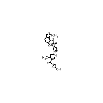 COc1ccc2cnn(C)c2c1NS(=O)(=O)c1cnn(-c2cc(C)c(C(=O)N3CC(O)C3)cn2)c1